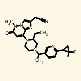 CCC1CN(C(C)c2ccc(C3CC3(F)F)nc2)CCN1c1cc(=O)n(C)n2cc(CC#N)nc12